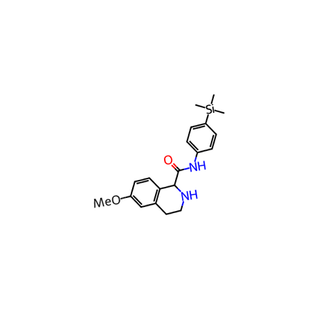 COc1ccc2c(c1)CCNC2C(=O)Nc1ccc([Si](C)(C)C)cc1